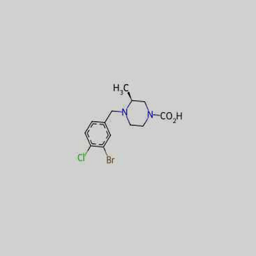 C[C@H]1CN(C(=O)O)CCN1Cc1ccc(Cl)c(Br)c1